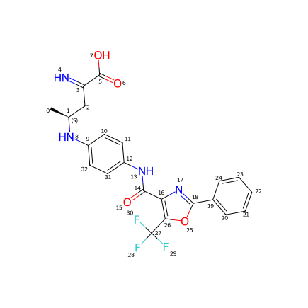 C[C@@H](CC(=N)C(=O)O)Nc1ccc(NC(=O)c2nc(-c3ccccc3)oc2C(F)(F)F)cc1